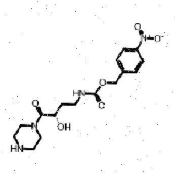 O=C(NCC[C@H](O)C(=O)N1CCNCC1)OCc1ccc([N+](=O)[O-])cc1